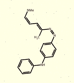 CN\C=C/C=C(C)/N=N\c1ccc(Nc2ccccc2)cc1